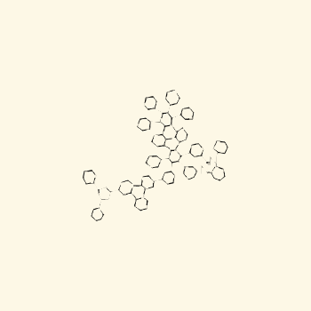 C1=C(c2ccccc2)C=C(c2ccc3c4ccc(-c5cccc(-c6c(-c7ccccc7)c(-c7cccc(-c8nc9ccccc9n8-c8ccccc8)c7)c7c8cccc9c%10c(-c%11ccccc%11)c(-c%11ccccc%11)c(-c%11ccccc%11)c(-c%11ccccc%11)c%10c%10cccc(c7c6-c6ccccc6)c%10c98)c5)cc4c4ccccc4c3c2)CC1c1ccccc1